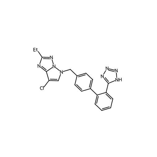 CCc1nc2c(Cl)cn(Cc3ccc(-c4ccccc4-c4nnn[nH]4)cc3)n2n1